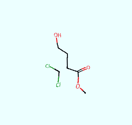 COC(=O)CCCO.ClCCl